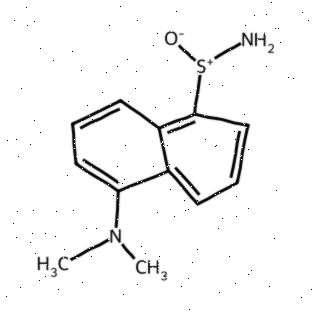 CN(C)c1cccc2c([S+](N)[O-])cccc12